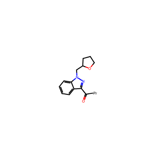 CC(C)C(=O)c1nn(CC2CCCO2)c2ccccc12